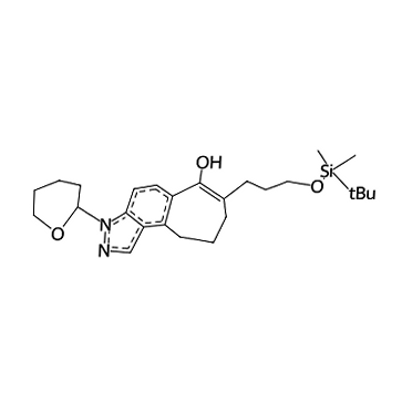 CC(C)(C)[Si](C)(C)OCCCC1=C(O)c2ccc3c(cnn3C3CCCCO3)c2CCC1